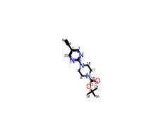 C#Cc1cnc(N2CCN(C(=O)OC(C)(C)C)CC2)nc1